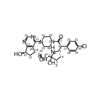 CC1(C)CC[C@@H]([C@@H](C(=O)N2CCN(c3ncnc4c3[C@H](CO)C[C@H]4O)CC2)c2ccc(Cl)cc2)N1